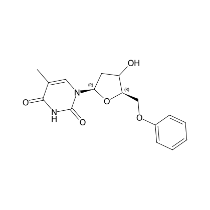 Cc1cn([C@H]2CC(O)[C@@H](COc3ccccc3)O2)c(=O)[nH]c1=O